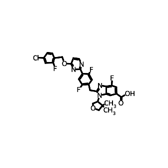 CC1(C)COCC1n1c(Cc2cc(F)c(-c3nccc(OCc4ccc(Cl)cc4F)n3)cc2F)nc2c(F)cc(C(=O)O)cc21